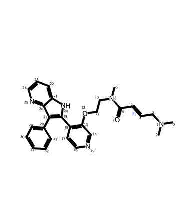 CN(C)C/C=C/C(=O)N(C)CCOc1cnccc1-c1[nH]c2cccnc2c1-c1ccccc1